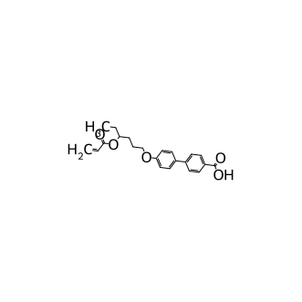 C=CC(=O)OC(CC)CCCOc1ccc(-c2ccc(C(=O)O)cc2)cc1